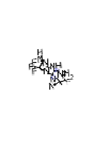 CNc1nc(NC(=C/N)/C(C)=N\CC(C)(C#N)C(F)F)ncc1C(F)(F)F